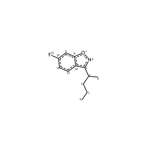 CCCC(C)c1noc2cc(F)ccc12